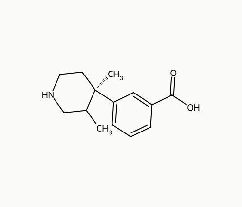 CC1CNCC[C@@]1(C)c1cccc(C(=O)O)c1